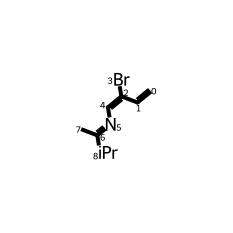 C=C/C(Br)=C\N=C(/C)C(C)C